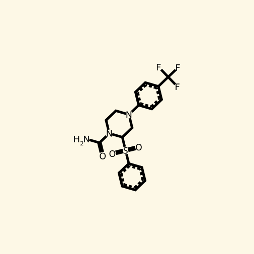 NC(=O)N1CCN(c2ccc(C(F)(F)F)cc2)CC1S(=O)(=O)c1ccccc1